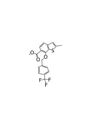 COC(=O)c1ccc2cc(C)sc2c1OCc1ccc(C(F)(F)F)cc1